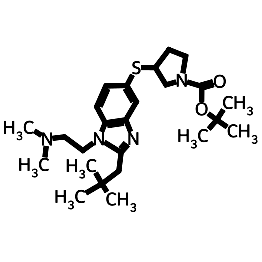 CN(C)CCn1c(CC(C)(C)C)nc2cc(SC3CCN(C(=O)OC(C)(C)C)C3)ccc21